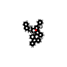 c1c(-c2nc3c(ccc4ccccc43)nc2-n2c3c(c4c5ccccc5ccc42)-c2c(c4ccccc4c4ccccc24)CC3)cc2c(c#1)oc1ccccc12